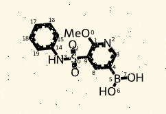 COc1ncc(B(O)O)cc1S(=O)(=O)Nc1ccccc1